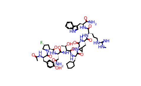 CNC(=N)NCCC[C@H](NC(=O)[C@H](CC1CC1)NC(=O)CNC(=O)[C@H](CC1CCCCC1)NC(=O)[C@@H](NC(=O)[C@H](CC(N)=O)NC(=O)[C@@H]1C[C@@H](F)CN1C(=O)[C@@H](Cc1ccc(O)cc1)NC(C)=O)[C@@H](C)O)C(=O)N[C@@H](Cc1c[nH]c2ccccc12)C(N)=O